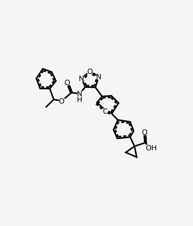 CC(OC(=O)Nc1nonc1-c1ccc(-c2ccc(C3(C(=O)O)CC3)cc2)cc1)c1ccccc1